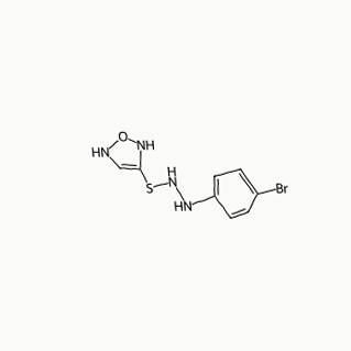 Brc1ccc(NNSC2=CNON2)cc1